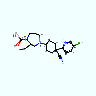 CCC1CN(C2CCC(C#N)(c3ccc(F)cn3)CC2)CCCN1C(=O)O